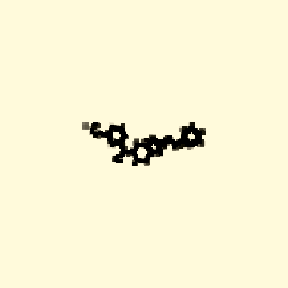 COc1cccc(C(=O)N2CCn3nc(OCc4ccccc4)cc3C2)n1